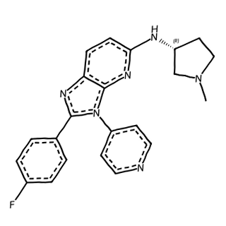 CN1CC[C@@H](Nc2ccc3nc(-c4ccc(F)cc4)n(-c4ccncc4)c3n2)C1